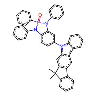 CC1(C)c2ccccc2-c2cc3c4ccccc4n(-c4ccc5c(c4)N(c4ccccc4)P(=O)(c4ccccc4)N5c4ccccc4)c3cc21